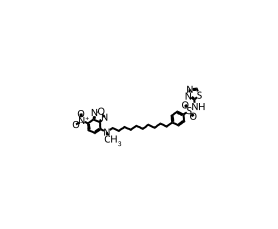 CN(CCCCCCCCCCc1ccc(S(=O)(=O)Nc2nncs2)cc1)c1ccc([N+](=O)[O-])c2nonc12